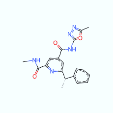 CNC(=O)c1cc(C(=O)Nc2nnc(C)o2)cc([C@@H](C)c2ccccc2)n1